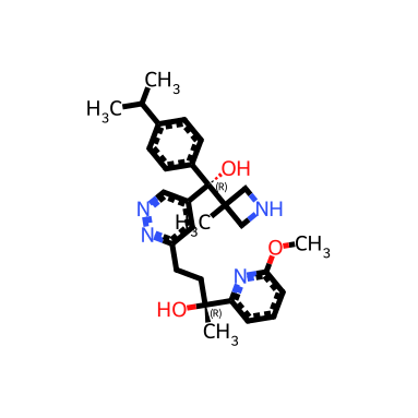 COc1cccc([C@](C)(O)CCc2cc([C@@](O)(c3ccc(C(C)C)cc3)C3(C)CNC3)cnn2)n1